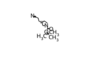 CC(C)(C)OC(=O)N1CC[C@H](CCC#N)C1